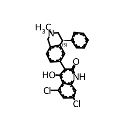 CN1Cc2ccc(-c3c(O)c4c(Cl)cc(Cl)cc4[nH]c3=O)cc2[C@H](c2ccccc2)C1